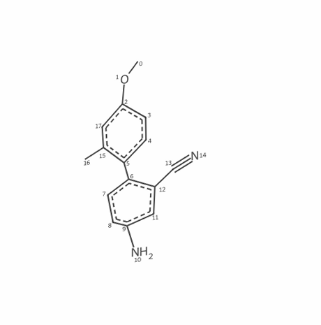 COc1ccc(-c2ccc(N)cc2C#N)c(C)c1